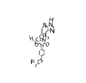 CC1(C)C(=O)N(c2ccc(SC(F)(F)F)cc2)C(=O)N1Cc1ccnc2[nH]cnc12